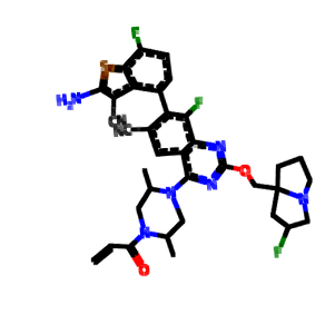 C=CC(=O)N1CC(C)N(c2nc(OCC34CCCN3CC(F)C4)nc3c(F)c(-c4ccc(F)c5sc(N)c(C#N)c45)c(C#N)cc23)CC1C